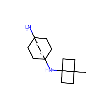 CC12CCC1(NC13CCC(N)(CC1)CC3)CC2